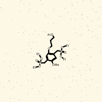 CCOP(=O)(Cc1cc(OCCCOC(C)=O)c(CP(=O)(OCC)OCC)cc1OC)OCC